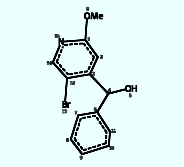 COc1cc(C(O)c2ccccc2)c(Br)cn1